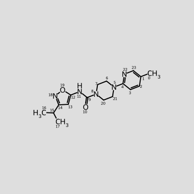 Cc1ccc(N2CCN(C(=O)Nc3cc(C(C)C)no3)CC2)nc1